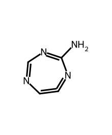 NC1=NC=NC=C=N1